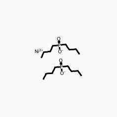 CCCCP(=O)([O-])CCCC.CCCCP(=O)([O-])CCCC.[Ni+2]